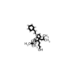 CC(C)CC1(C(CCCO)C(=O)OC(C)(C)C)CCN(CCc2ccccc2)C1=O